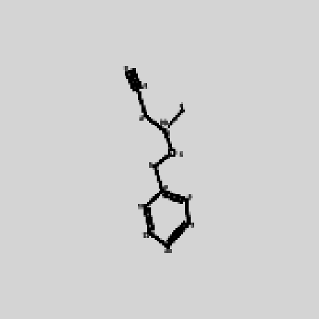 C#CC[C@H](C)OCc1ccccc1